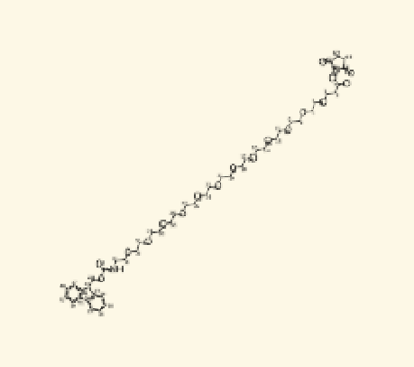 O=C(CCOCCOCCOCCOCCOCCOCCOCCOCCOCCOCCOCCOCCNC(=O)OCC1c2ccccc2-c2ccccc21)ON1C(=O)CCC1=O